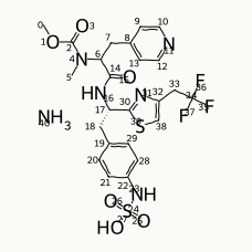 COC(=O)N(C)C(Cc1ccncc1)C(=O)N[C@@H](Cc1ccc(NS(=O)(=O)O)cc1)c1nc(CC(F)(F)F)cs1.N